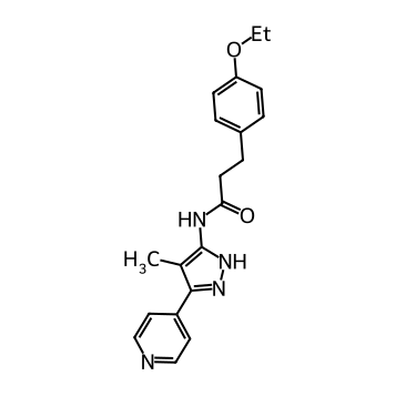 CCOc1ccc(CCC(=O)Nc2[nH]nc(-c3ccncc3)c2C)cc1